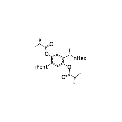 C=C(C)C(=O)Oc1cc(C(C)CCCCCC)c(OC(=O)C(=C)C)cc1C(C)CCC